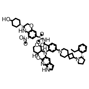 CCc1ccccc1[C@@H]1CCCN1C1CC2(CCN(c3ccc(C(=O)NS(=O)(=O)c4cc5c(c([N+](=O)[O-])c4)N[C@H](C4CCC(O)CC4)CO5)c(N4c5cc6cc[nH]c6nc5O[C@H]5CCOC[C@H]54)c3)CC2)C1